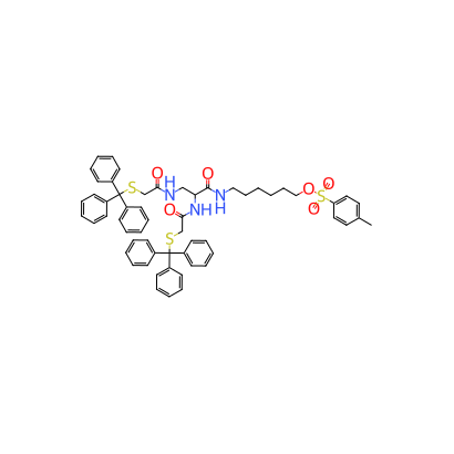 Cc1ccc(S(=O)(=O)OCCCCCCNC(=O)C(CNC(=O)CSC(c2ccccc2)(c2ccccc2)c2ccccc2)NC(=O)CSC(c2ccccc2)(c2ccccc2)c2ccccc2)cc1